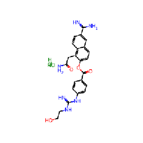 Cl.Cl.N=C(NCCO)Nc1ccc(C(=O)Oc2ccc3cc(C(=N)N)ccc3c2CC(N)=O)cc1